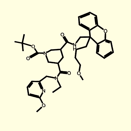 CCN(Cc1cccc(OC)n1)C(=O)C1CC(C(=O)NCC2(CCCCOC)c3ccccc3Oc3ccccc32)CN(C(=O)OC(C)(C)C)C1